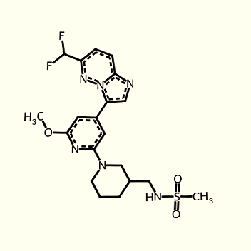 COc1cc(-c2cnc3ccc(C(F)F)nn23)cc(N2CCCC(CNS(C)(=O)=O)C2)n1